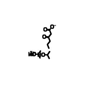 CC(C)O.CC(C)O.CCCC(=O)CC(=O)[O-].[Al+]